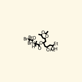 CCC(O)CC(CC(CC1CC(C)OC(C)O1)OC(=O)C(C)(C)NC(=O)C(Br)(Br)Br)OC(C)=O